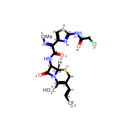 CON=C(C(=O)NC1C(=O)N2C(C(=O)O)=C(C=CC(F)(F)F)CS[C@@H]12)c1csc(NC(=O)CCl)n1